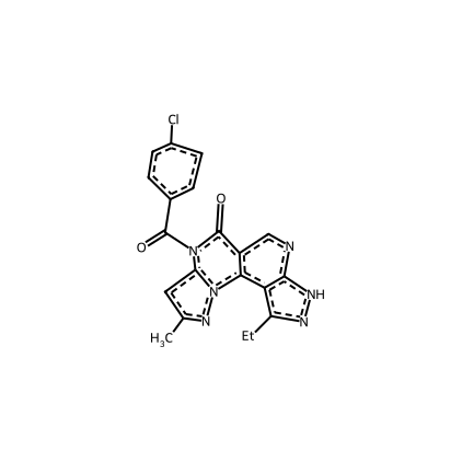 CCc1n[nH]c2ncc3c(=O)n(C(=O)c4ccc(Cl)cc4)c4cc(C)nn4c3c12